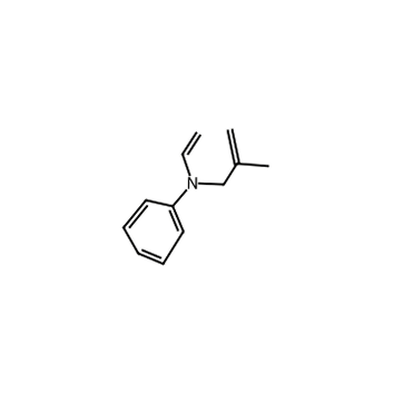 C=CN(CC(=C)C)c1ccccc1